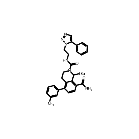 CC(C)(C)C1c2c(C(N)=O)ccc(-c3cccc(C(F)(F)F)c3)c2CCN1C(=O)NCCn1nncc1-c1ccccc1